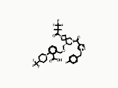 CC(C)(C(=O)N1CC2(CN(C(=O)c3cnn(Cc4ccc(F)cc4)c3)C[C@H]2COCc2cccc(N3CCC(C(F)(F)F)CC3)c2C(=O)O)C1)C(F)(F)F